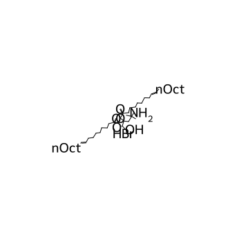 Br.CCCCCCCCC=CCCCCCCCC(=O)OC(CO)C(CC(C)(C)N)OC(=O)CCCCCCCC=CCCCCCCCC